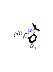 C/C=C(/C)Nc1ccc(C(F)(F)F)cc1C(=O)O